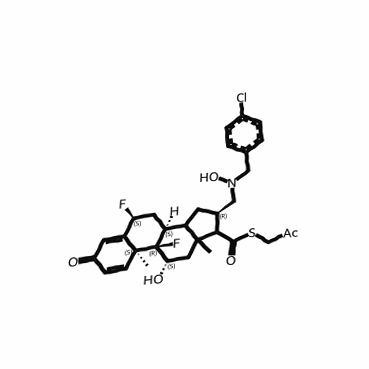 CC(=O)CSC(=O)C1[C@H](CN(O)Cc2ccc(Cl)cc2)CC2[C@@H]3C[C@H](F)C4=CC(=O)C=C[C@]4(C)[C@@]3(F)[C@@H](O)CC12C